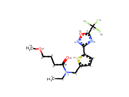 CCN(Cc1ccc(-c2noc(C(F)(F)F)n2)s1)C(=O)CCCOC